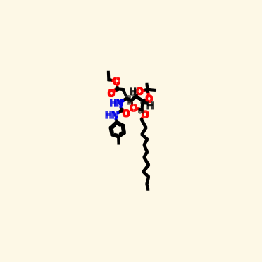 CCCCCCCCCCCCO[C@H]1O[C@H]([C@H](CC(=O)OCC)NC(=O)Nc2ccc(C)cc2)[C@@H]2OC(C)(C)O[C@H]12